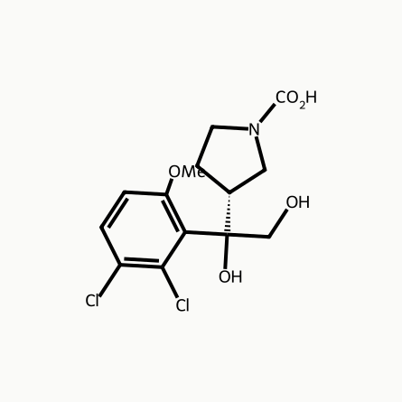 COc1ccc(Cl)c(Cl)c1C(O)(CO)[C@@H]1CCN(C(=O)O)C1